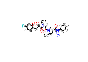 CN(CC(=O)N1CC(C(=O)Nc2ccccc2)CC1C#N)C(=O)C(O)Cc1ccc(F)cc1